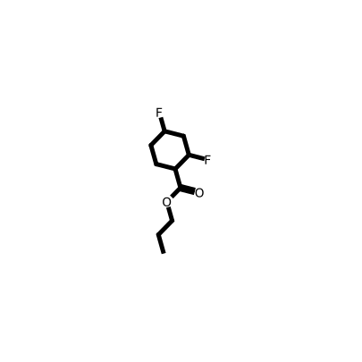 CCCOC(=O)C1CCC(F)CC1F